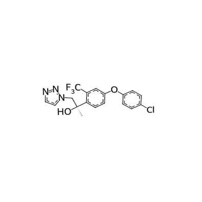 C[C@](O)(Cn1ccnn1)c1ccc(Oc2ccc(Cl)cc2)cc1C(F)(F)F